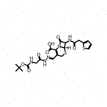 CC(C)(C)OC(=O)NCC(=O)NN=CC1=C(C(=O)O)N2C(=O)C(NC(=O)Cc3cccs3)[C@@H]2SC1